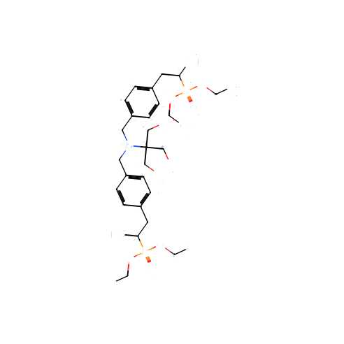 CCOP(=O)(OCC)C(C)Cc1ccc(CN(Cc2ccc(CC(C)P(=O)(OCC)OCC)cc2)C(CO)(CO)CO)cc1